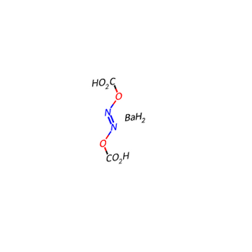 O=C(O)ON=NOC(=O)O.[BaH2]